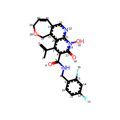 C=C(C)c1c(C(=O)NCc2ccc(F)cc2F)c(=O)n(O)c2ncc3c(c12)COCC=C3